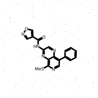 CSc1ncc(-c2ccccc2)c2ncc(NC(=O)c3cnoc3)nc12